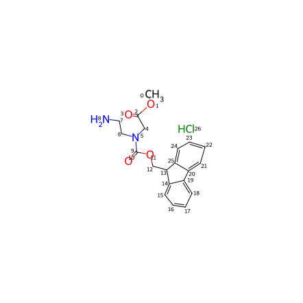 COC(=O)CN(CCN)C(=O)OCC1c2ccccc2-c2ccccc21.Cl